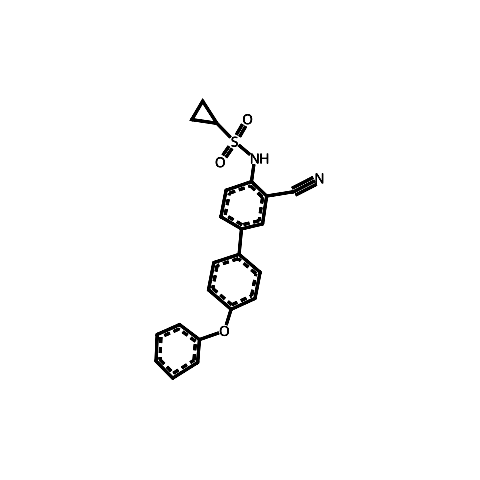 N#Cc1cc(-c2ccc(Oc3ccccc3)cc2)ccc1NS(=O)(=O)C1CC1